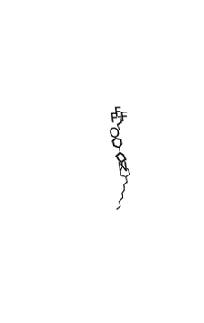 CCCCCCCCC1CCN(c2ccc(-c3ccc(OC/C=C/C(F)(F)F)cc3)cc2)CC1